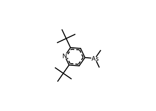 C[As](C)c1cc(C(C)(C)C)nc(C(C)(C)C)c1